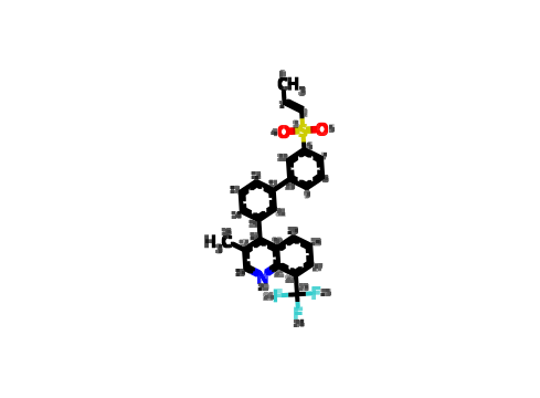 CC=CS(=O)(=O)c1cccc(-c2cccc(-c3c(C)cnc4c(C(F)(F)F)cccc34)c2)c1